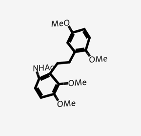 COc1ccc(OC)c(CCc2c(NC(C)=O)ccc(OC)c2OC)c1